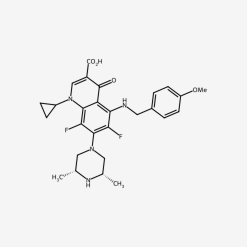 COc1ccc(CNc2c(F)c(N3C[C@@H](C)N[C@@H](C)C3)c(F)c3c2c(=O)c(C(=O)O)cn3C2CC2)cc1